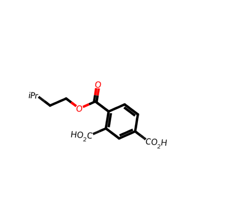 CC(C)CCOC(=O)c1ccc(C(=O)O)cc1C(=O)O